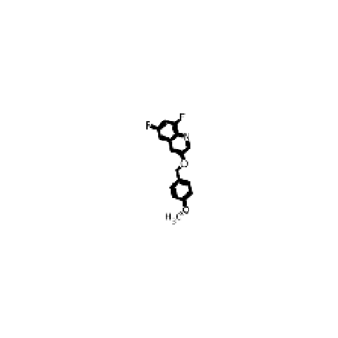 COc1ccc(COc2cnc3c(F)cc(F)cc3c2)cc1